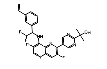 C=Cc1cccc(C(Nc2c(Cl)cnc3cc(F)c(-c4cnc(C(C)(C)O)nc4)nc23)C(F)F)c1